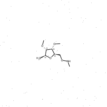 B[C@@H]1O[C@H](CONC)[C@@H](OC)[C@H]1OC